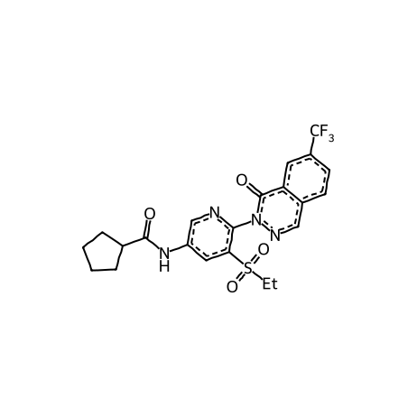 CCS(=O)(=O)c1cc(NC(=O)C2CCCC2)cnc1-n1ncc2ccc(C(F)(F)F)cc2c1=O